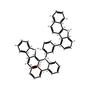 c1ccc(-c2ccccc2N(c2cccc(-c3cccc4oc5c6ccccc6ccc5c34)c2)c2cccc3c2sc2ccccc23)cc1